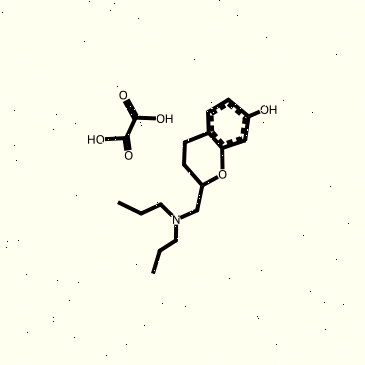 CCCN(CCC)CC1CCc2ccc(O)cc2O1.O=C(O)C(=O)O